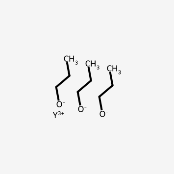 CCC[O-].CCC[O-].CCC[O-].[Y+3]